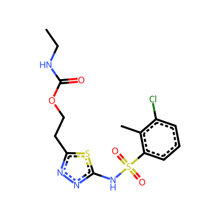 CCNC(=O)OCCc1nnc(NS(=O)(=O)c2cccc(Cl)c2C)s1